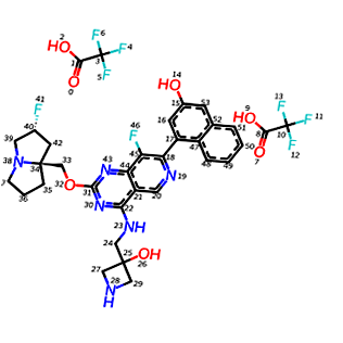 O=C(O)C(F)(F)F.O=C(O)C(F)(F)F.Oc1cc(-c2ncc3c(NCC4(O)CNC4)nc(OC[C@@]45CCCN4C[C@H](F)C5)nc3c2F)c2ccccc2c1